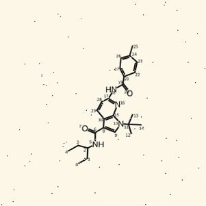 CCC(CC)NC(=O)c1cn(C(C)(C)C)c2nc(NC(=O)c3ccc(C)cc3)ccc12